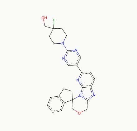 OCC1(F)CCN(c2ncc(-c3ccc4nc5n(c4n3)C3(CCc4ccccc43)COC5)cn2)CC1